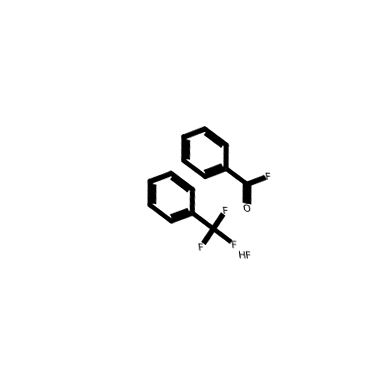 F.FC(F)(F)c1ccccc1.O=C(F)c1ccccc1